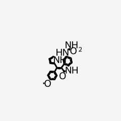 COc1ccc(C(=C2C(=O)Nc3ccc(NC(N)=O)cc32)c2ccc[nH]2)cc1